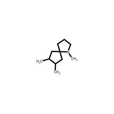 CC1CC2(CCCN2C)CC1C